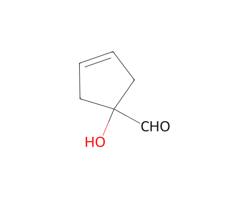 O=CC1(O)CC=CC1